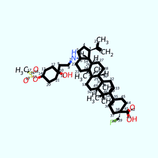 C=C(C)[C@@H]1CC[C@]2(NCCC3(O)CCC(OS(C)(=O)=O)CC3)CC[C@]3(C)[C@H](CC[C@@H]4[C@@]5(C)CC=C(C6=CC[C@](CF)(C(=O)O)CC6)C(C)(C)[C@@H]5CC[C@]43C)[C@@H]12